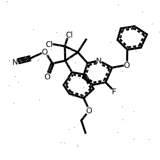 CCOc1ccc(C2(C(=O)OC#N)C(Cl)(Cl)C2(C)c2ccc(F)c(Oc3ccccc3)n2)cc1